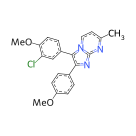 COc1ccc(-c2nc3nc(C)ccn3c2-c2ccc(OC)c(Cl)c2)cc1